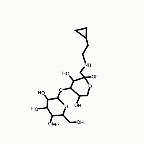 COC1C(CO)OC(OC2C(O)COC(O)(CNCCC3CC3)C2O)C(O)C1O